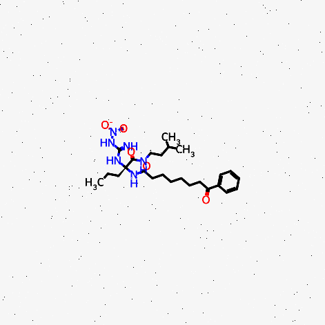 CCC[C@](NC(=N)N[N+](=O)[O-])(NC(=O)CCCCCCC(=O)c1ccccc1)C(=O)N[CH]CC(C)C